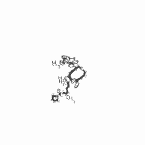 C/C(=C\C=C\[C@@H](C)COC(=O)N1CCCC1)[C@H]1OC(=O)CCCCC[C@H](OC(=O)N(C)C)/C=C/[C@@H]1C